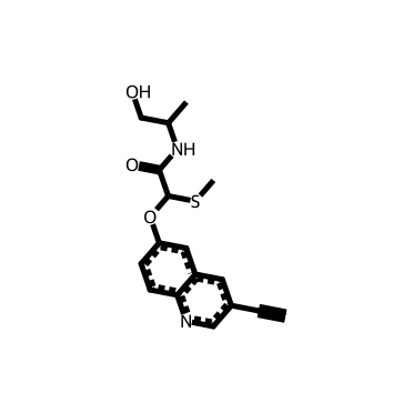 C#Cc1cnc2ccc(OC(SC)C(=O)NC(C)CO)cc2c1